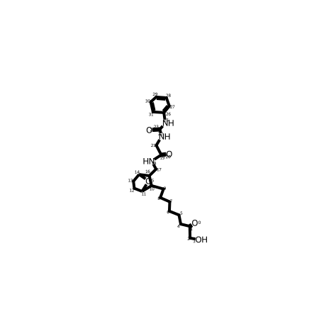 O=C(CO)CCCCCCC1C2CCC(O2)C1CNC(=O)CNC(=O)Nc1ccccc1